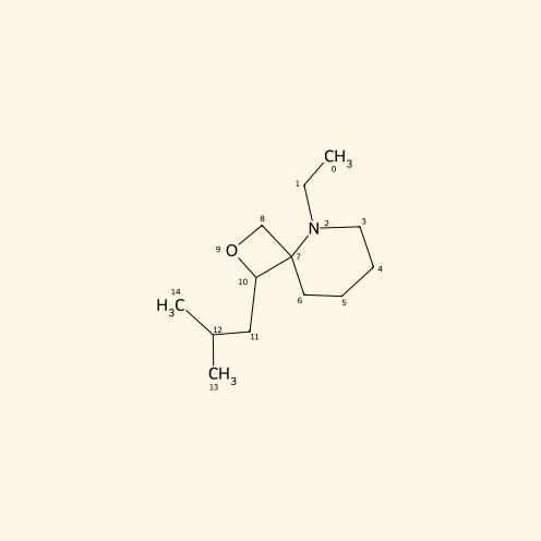 CCN1CCCCC12COC2CC(C)C